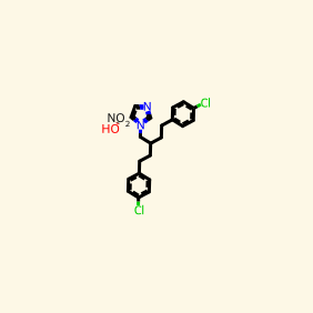 Clc1ccc(CCC(CCc2ccc(Cl)cc2)Cn2ccnc2)cc1.O=[N+]([O-])O